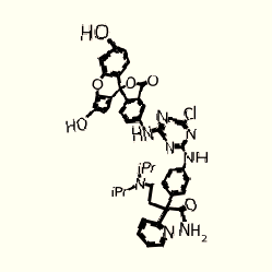 CC(C)N(CCC(C(N)=O)(c1ccc(Nc2nc(Cl)nc(Nc3ccc4c(c3)C(=O)OC43c4ccc(O)cc4Oc4cc(O)ccc43)n2)cc1)c1ccccn1)C(C)C